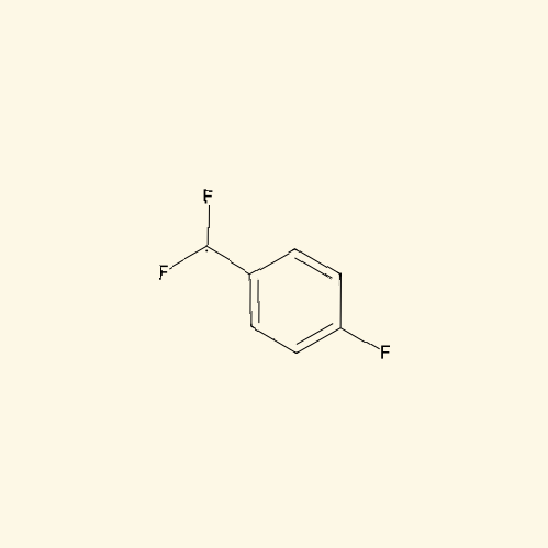 F[C](F)c1ccc(F)cc1